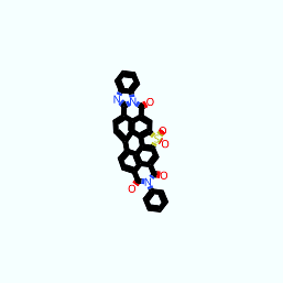 O=C1c2ccc3c4ccc5c6c(cc7c(c8c(cc(c2c38)C(=O)N1c1ccccc1)S7(=O)=O)c46)c(=O)n1c2ccccc2nc51